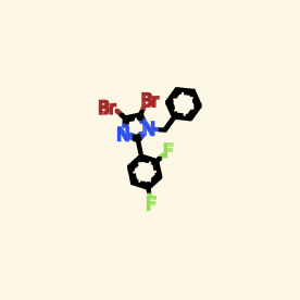 Fc1ccc(-c2nc(Br)c(Br)n2Cc2ccccc2)c(F)c1